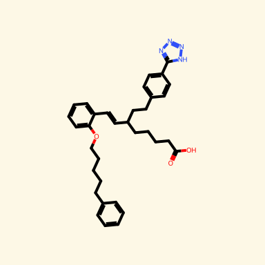 O=C(O)CCCCC(C=Cc1ccccc1OCCCCCc1ccccc1)CCc1ccc(-c2nnn[nH]2)cc1